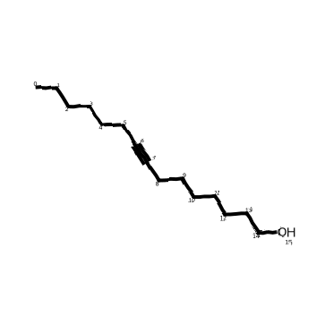 CCCCCCC#CCCCCCCCO